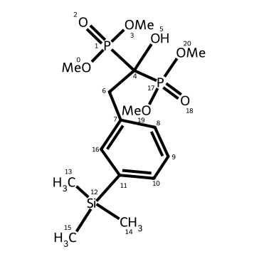 COP(=O)(OC)C(O)(Cc1cccc([Si](C)(C)C)c1)P(=O)(OC)OC